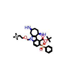 CC(C)(C)OC(=O)c1c(S(=O)(=O)c2ccccc2)ccc2c1c1c(n2COCC[Si](C)(C)C)CC(=N)CCC1=N